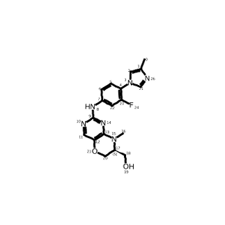 Cc1cn(-c2ccc(Nc3ncc4c(n3)N(C)[C@@H](CO)CO4)cc2F)cn1